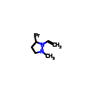 C=CN1C(C(C)C)CCN1C